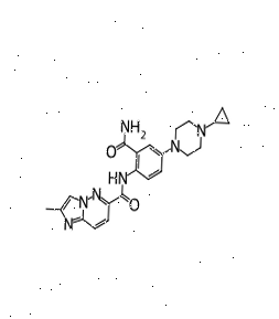 Cc1cn2nc(C(=O)Nc3ccc(N4CCN(C5CC5)CC4)cc3C(N)=O)ccc2n1